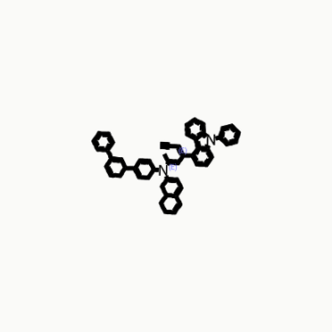 C#C/C=C(\C=C(/C)N(C1=CC=C2C=CCCC2C1)C1C=CC(C2C=C(c3ccccc3)C=CC2)=CC1)c1cccc2c1c1ccccc1n2-c1ccccc1